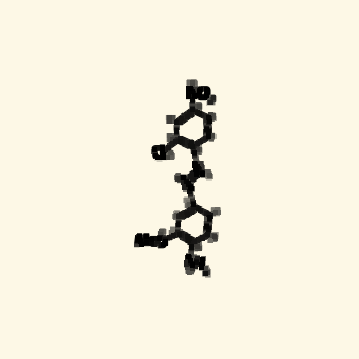 COc1cc(/N=N/c2ccc([N+](=O)[O-])cc2Cl)ccc1N